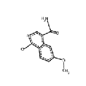 COc1ccc2c(Cl)ncc(C(N)=O)c2c1